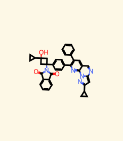 O=C1c2ccccc2C(=O)N1[C@]1(c2ccc(-c3nc4c(cnc5cc(C6CC6)nn54)cc3-c3ccccc3)cc2)C[C@@](O)(C2CC2)C1